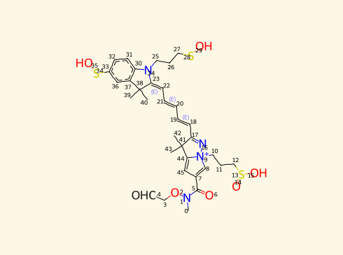 CN(OCC=O)C(=O)C1=C[N+]2(CCCS(=O)O)N=C(/C=C/C=C/C=C3/N(CCCSO)c4ccc(SO)cc4C3(C)C)C(C)(C)C2=C1